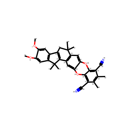 COc1cc2c(cc1OC)C(C)(C)C1=C2CC(C)(C)c2cc3c(cc21)Oc1c(C#N)c(C)c(C)c(C#N)c1O3